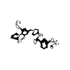 CCOc1cc(CN2CCC(NC(=O)c3cccc(OS(C)(=O)=O)c3)CC2)cc(OCC)c1-n1cccc1